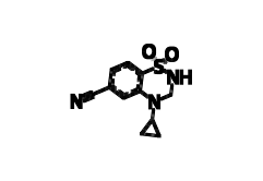 N#Cc1ccc2c(c1)N(C1CC1)CNS2(=O)=O